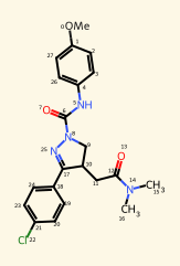 COc1ccc(NC(=O)N2CC(CC(=O)N(C)C)C(c3ccc(Cl)cc3)=N2)cc1